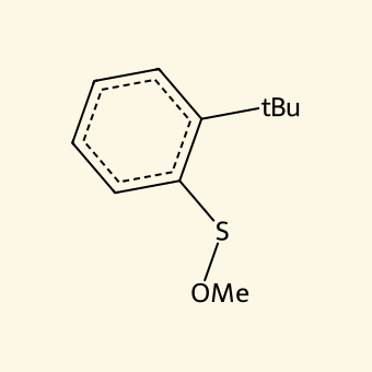 COSc1ccccc1C(C)(C)C